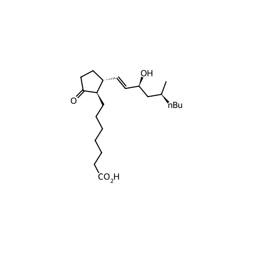 CCCC[C@H](C)C[C@H](O)/C=C/[C@H]1CCC(=O)[C@@H]1CCCCCCC(=O)O